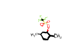 CC1C=C(OS(=O)(=O)C(F)(F)F)C(C)CC1